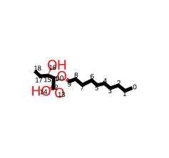 CCCCCCCCCCO[C@H](C(=O)O)[C@@H](O)CC